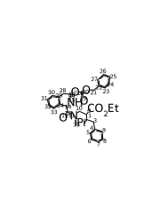 CCOC(=O)C(CCc1ccccc1)CN(C(=O)C1N[C@@H](OC(=O)OCc2ccccc2)Cc2ccccc21)C(C)C